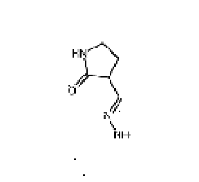 [NH]N=CC1CCNC1=O